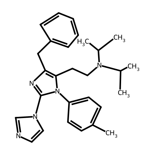 Cc1ccc(-n2c(-n3ccnc3)nc(Cc3ccccc3)c2CCN(C(C)C)C(C)C)cc1